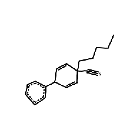 CCCCCC1(C#N)C=CC(c2ccccc2)C=C1